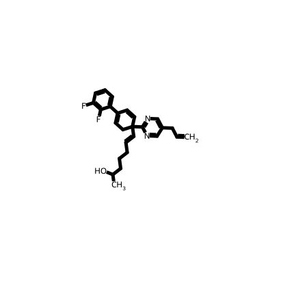 C=CCc1cnc(C2(/C=C/CCCC(C)O)C=CC(c3cccc(F)c3F)=CC2)nc1